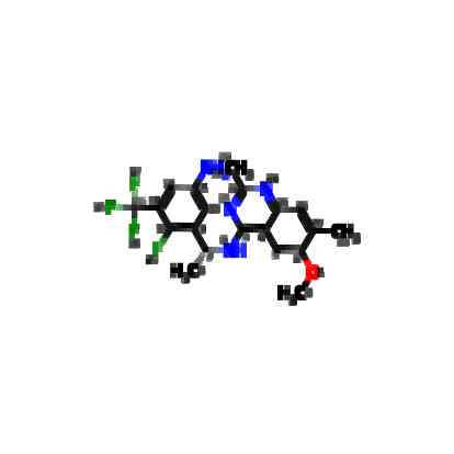 COc1cc2c(N[C@H](C)c3cc(N)cc(C(F)(F)F)c3F)nc(C)nc2cc1C